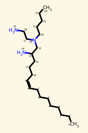 CCCCCCCC/C=C\CCCC(N)CN(CCN)CCCCC